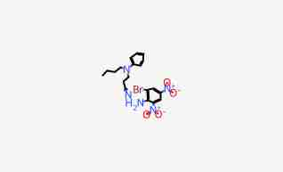 CCCCN(CCC#N)c1ccccc1.Nc1c(Br)cc([N+](=O)[O-])cc1[N+](=O)[O-]